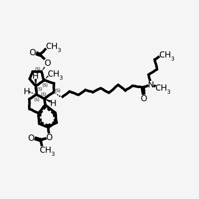 CCCCN(C)C(=O)CCCCCCCCCC[C@H]1C[C@]2(C)[C@@H](OC(C)=O)CC[C@H]2[C@@H]2CCc3cc(OC(C)=O)ccc3[C@@H]12